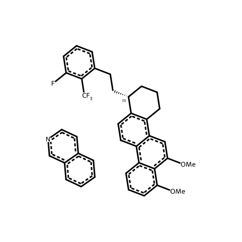 COc1cccc2c1c(OC)cc1c3c(ccc12)[C@H](CCc1cccc(F)c1C(F)(F)F)CCC3.c1ccc2cnccc2c1